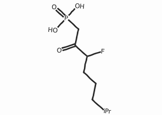 CC(C)CCCC(F)C(=O)CP(=O)(O)O